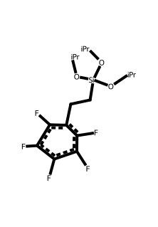 CC(C)O[Si](CCc1c(F)c(F)c(F)c(F)c1F)(OC(C)C)OC(C)C